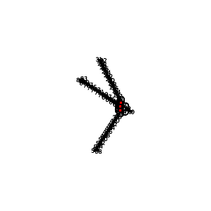 CCCC(=O)OC(CC(=O)OCCCCCCCCCCCCCCCCCCCC(C)C)(CC(=O)OCCCCCCCCCCCCCCCCCCCC(C)C)C(=O)OCCCCCCCCCCCCCCCCCCCC(C)C